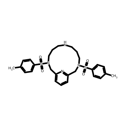 Cc1ccc(S(=O)(=O)N2CCCNCCCN(S(=O)(=O)c3ccc(C)cc3)Cc3cccc(n3)C2)cc1